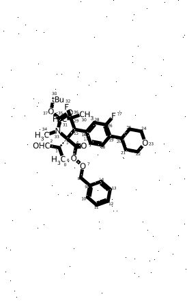 CC(C=O)[C@@](C(=O)OOCc1ccccc1)(C(c1ccc(C2CCOCC2)c(F)c1)C(C)(C)F)N(C)C(=O)OC(C)(C)C